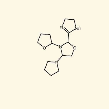 C1COC(N2[C](C3=NCCN3)OCC2N2CCCC2)C1